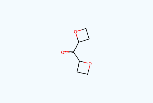 O=C(C1CCO1)C1CCO1